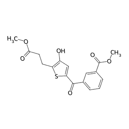 COC(=O)CCc1sc(C(=O)c2cccc(C(=O)OC)c2)cc1O